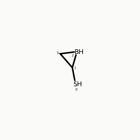 SC1BC1